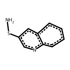 NSc1cnc2ccccc2c1